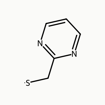 [S]Cc1ncccn1